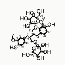 COc1cc(C[C@@H](COC2O[C@H](CO)[C@@H](O)[C@H](O)[C@H]2O)[C@H](CO[C@@H]2O[C@H](CO)[C@@H](O)[C@H](O)[C@H]2O)Cc2ccc(O)c(OC)c2)ccc1O